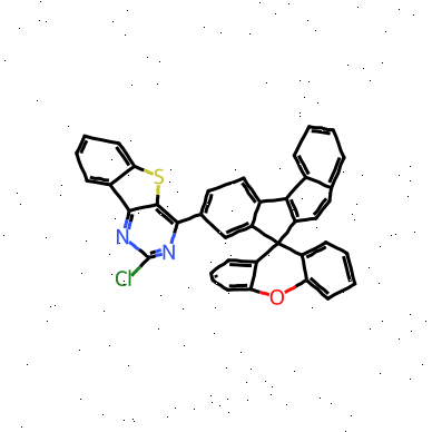 Clc1nc(-c2ccc3c(c2)C2(c4ccccc4Oc4ccccc42)c2ccc4ccccc4c2-3)c2sc3ccccc3c2n1